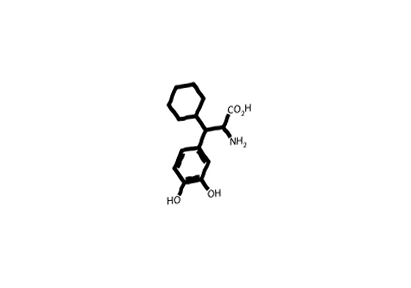 NC(C(=O)O)C(c1ccc(O)c(O)c1)C1CCCCC1